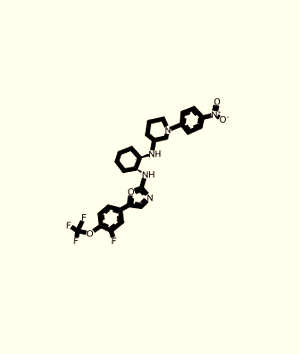 O=[N+]([O-])c1ccc(N2CCCC(N[C@@H]3CCCC[C@H]3Nc3ncc(-c4ccc(OC(F)(F)F)c(F)c4)o3)C2)cc1